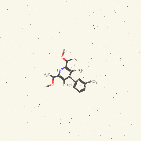 CCOC(C)C1=C(C(=O)O)C(c2cccc([N+](=O)[O-])c2)C(C(=O)O)=C(C(C)OCC)N1